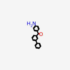 Nc1ccc(C(=O)c2cccc(-c3ccccc3)c2)cc1